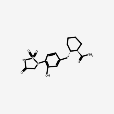 NC(=O)[C@@H]1CCCC[C@H]1Cc1ccc(N2CC(=O)NS2(=O)=O)c(O)c1